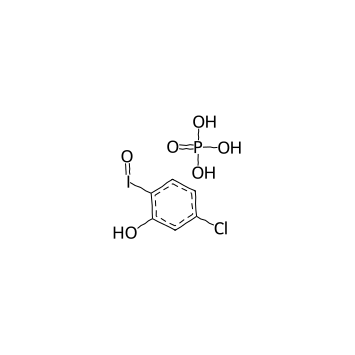 O=Ic1ccc(Cl)cc1O.O=P(O)(O)O